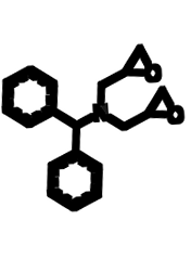 c1ccc(C(c2ccccc2)N(CC2CO2)CC2CO2)cc1